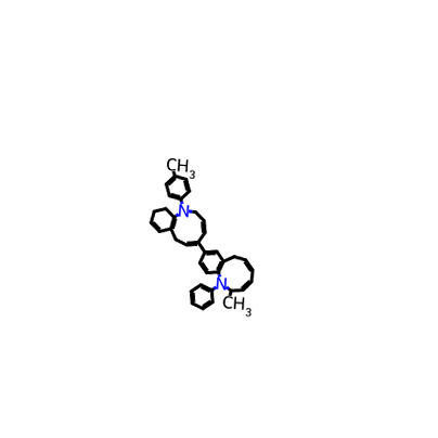 Cc1ccc(N2C/C=C\C(c3ccc4c(c3)C/C=C\C=C/C(C)N4c3ccccc3)=C/CC3=C2CCC=C3)cc1